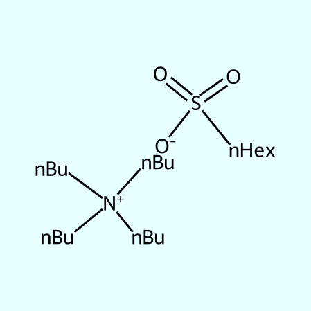 CCCCCCS(=O)(=O)[O-].CCCC[N+](CCCC)(CCCC)CCCC